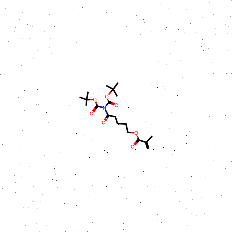 C=C(C)C(=O)OCCCCC(=O)N(C(=O)OC(C)(C)C)C(=O)OC(C)(C)C